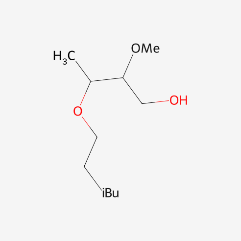 CCC(C)CCOC(C)C(CO)OC